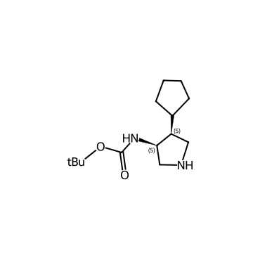 CC(C)(C)OC(=O)N[C@@H]1CNC[C@@H]1C1CCCC1